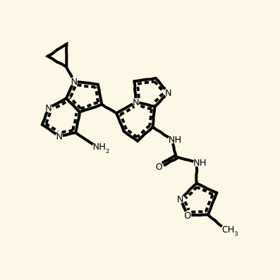 Cc1cc(NC(=O)Nc2ccc(-c3cn(C4CC4)c4ncnc(N)c34)n3ccnc23)no1